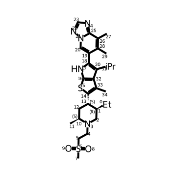 CC[C@H]1CN(CCS(C)(=O)=O)[C@@H](C)C[C@@H]1c1sc2[nH]c(-c3cn4ncnc4c(C)c3C)c(C(C)C)c2c1C